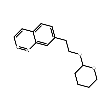 c1cc2ccc(CCOC3CCCCO3)cc2nn1